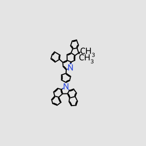 CC1(C)c2ccccc2-c2cc3c(-c4ccccc4)cc(-c4ccc(-n5c6ccc7ccccc7c6c6c7ccccc7ccc65)cc4)nc3cc21